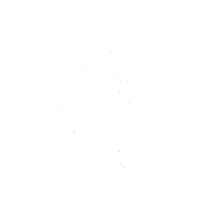 NC(N)=O.O=C(Nc1ccc(Cl)cc1)Nc1ccc([N+](=O)[O-])cc1Cl